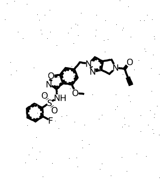 C#CC(=O)N1Cc2cn(Cc3cc(OC)c4c(NS(=O)(=O)c5ccccc5F)noc4c3)nc2C1